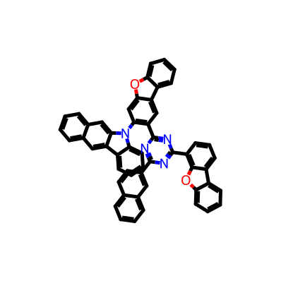 c1ccc2cc(-c3nc(-c4cc5c(cc4-n4c6ccccc6c6cc7ccccc7cc64)oc4ccccc45)nc(-c4cccc5c4oc4ccccc45)n3)ccc2c1